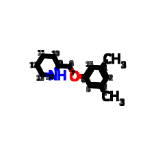 Cc1cc(C)cc(OCC2CCCCN2)c1